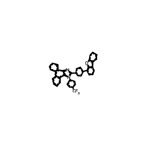 FC(F)(F)c1ccc(-n2c(-c3ccc(-c4cccc5c4oc4ccccc45)cc3)nc3c4ccccc4c4ccccc4c32)cc1